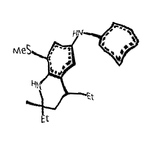 CCC1CC(C)(CC)Nc2c(SC)cc(Nc3ccccc3)cc21